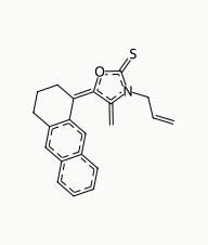 C=CCn1c(=S)o/c(=C2\CCCc3cc4ccccc4cc32)c1=C